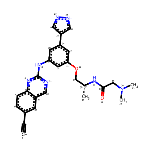 C#Cc1ccc2nc(Nc3cc(OC[C@@H](C)NC(=O)CN(C)C)cc(-c4cn[nH]c4)c3)ncc2c1